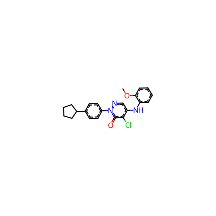 COc1ccccc1Nc1cnn(-c2ccc(C3CCCC3)cc2)c(=O)c1Cl